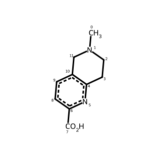 CN1CCc2nc(C(=O)O)ccc2C1